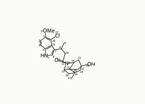 COc1ccc2[nH]cc(C(C)CC(=O)N3C4CC5(C)CC3CC(O)(C4)C5)c2c1Cl